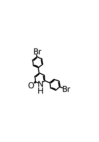 O=c1cc(-c2ccc(Br)cc2)cc(-c2ccc(Br)cc2)[nH]1